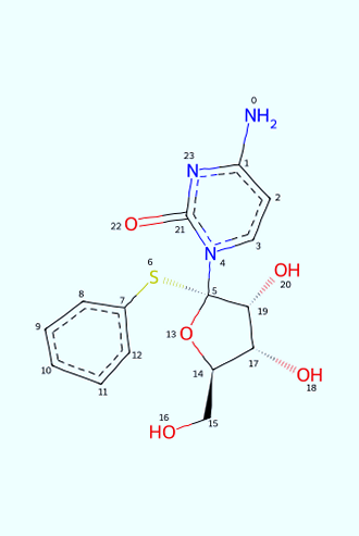 Nc1ccn([C@]2(Sc3ccccc3)O[C@H](CO)[C@@H](O)[C@H]2O)c(=O)n1